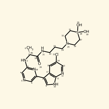 C[C@@H](Nc1cncc(-c2c[nH]c3ncc(Cl)cc23)n1)C(=O)NCCCN1CCS(O)(O)CC1